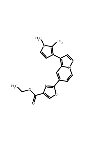 CCOC(=O)c1coc(-c2ccn3ncc(-c4ccn(C)c4C)c3c2)n1